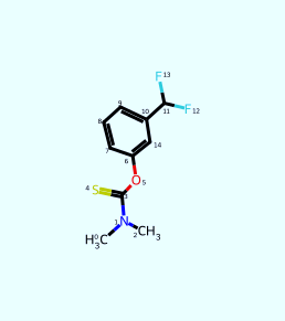 CN(C)C(=S)Oc1cccc(C(F)F)c1